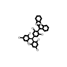 Clc1cc(Cl)c(C(c2cc(Cl)c(-c3c4ccccc4n4c3oc3ccccc34)c(Cl)c2)c2c(Cl)cc(Cl)cc2Cl)c(Cl)c1